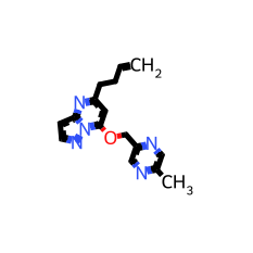 C=CCCc1cc(OCc2cnc(C)cn2)n2nccc2n1